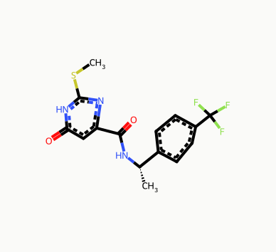 CSc1nc(C(=O)N[C@@H](C)c2ccc(C(F)(F)F)cc2)cc(=O)[nH]1